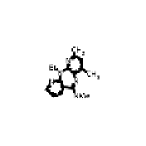 CCN1c2ncccc2C(NC)=Nc2c(C)cc(C)nc21